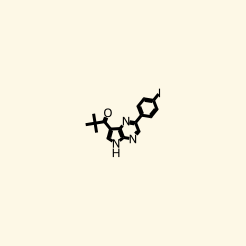 CC(C)(C)C(=O)c1c[nH]c2ncc(-c3ccc(I)cc3)nc12